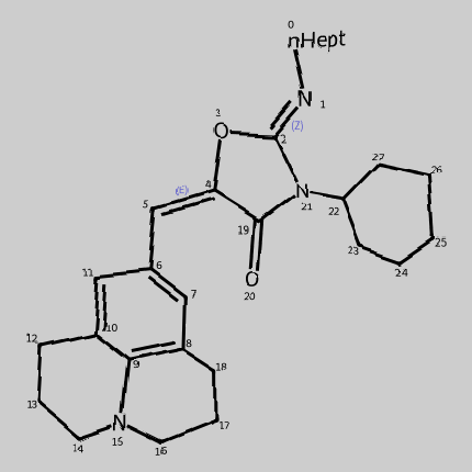 CCCCCCC/N=C1\O/C(=C/c2cc3c4c(c2)CCCN4CCC3)C(=O)N1C1CCCCC1